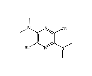 CN(C)c1nc(C#N)c(N(C)C)nc1C#N